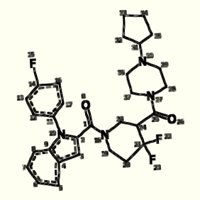 O=C(c1cc2ccccc2n1-c1ccc(F)cc1)N1CCC(F)(F)C(C(=O)N2CCN(C3CCCC3)CC2)C1